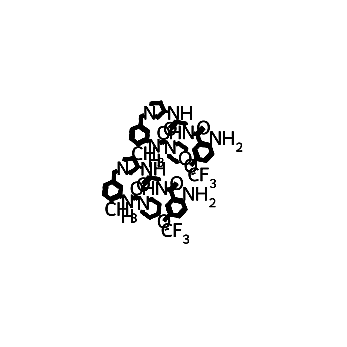 Cc1ccc(CN2CC[C@@H](NC(=O)CNC(=O)c3cc(OC(F)(F)F)ccc3N)C2)cc1NC(=O)N1CCCCC1.Cc1ccc(CN2CC[C@@H](NC(=O)CNC(=O)c3cc(OC(F)(F)F)ccc3N)C2)cc1NC(=O)N1CCOCC1